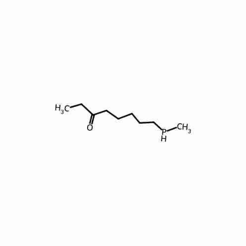 CCC(=O)CCCCCPC